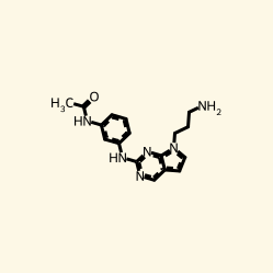 CC(=O)Nc1cccc(Nc2ncc3ccn(CCCN)c3n2)c1